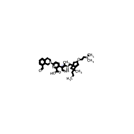 CCCC1(C)CC2(CN/C(C)=C(\C=N)c3ccc(N4CCc5cccc(C=O)c5C4)nc3C(=O)O)CC(OCCN(C)C)C=C12